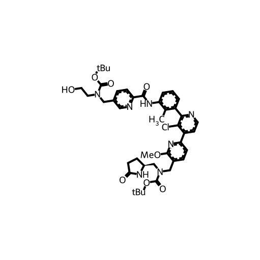 COc1nc(-c2ccnc(-c3cccc(NC(=O)c4ccc(CN(CCO)C(=O)OC(C)(C)C)cn4)c3C)c2Cl)ccc1CN(C[C@@H]1CCC(=O)N1)C(=O)OC(C)(C)C